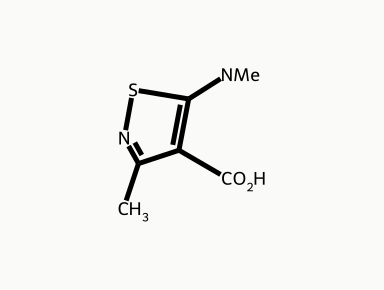 CNc1snc(C)c1C(=O)O